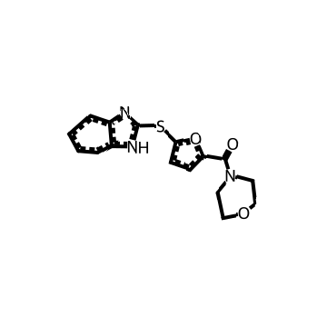 O=C(c1ccc(Sc2nc3ccccc3[nH]2)o1)N1CCOCC1